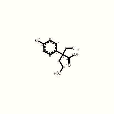 CCCC(CC)(C(=O)O)c1ccc(Br)cc1